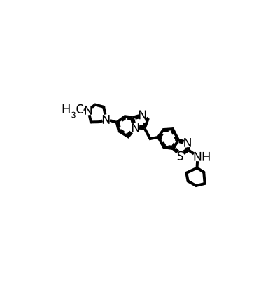 CN1CCN(c2ccn3c(Cc4ccc5nc(NC6CCCCC6)sc5c4)cnc3c2)CC1